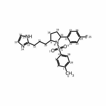 Cc1ccc(S(=O)(=O)N2C(CCCc3ncc[nH]3)CCC2c2ccc(F)cc2)cc1